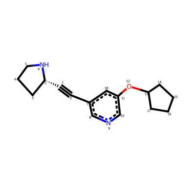 C(#C[C@@H]1CCCN1)c1cncc(OC2CCCC2)c1